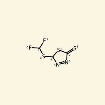 FC(F)SC1N=NC(=S)S1